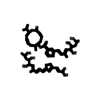 CC(C=CC=C1C=C(C=CC(=O)O)CC1)=CC(O)C(O)CC(C)O.CC(C=Cc1cccc(C(=O)OC2CCCC(=O)OC(C(C)C)CC=CCC2C)c1)=CC(O)C(O)CC(C)O